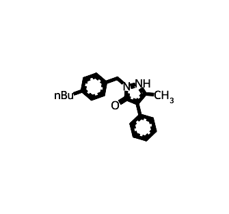 CCCCc1ccc(Cn2[nH]c(C)c(-c3ccccc3)c2=O)cc1